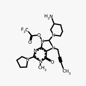 CC#CCN1c2c(nc(N3CCCC3)n(C)c2=O)N(OC(=O)C(F)(F)F)C1N1CCCC(N)C1